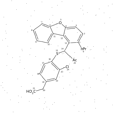 CCCc1ccc2oc3ccccc3c2c1C(Sc1ccc(CC(=O)O)cc1Cl)C(C)=O